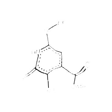 CCOc1cc(C(=O)OC)c(O)c(=O)[nH]1